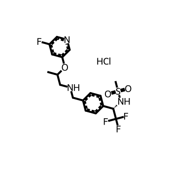 CC(CNCc1ccc([C@H](NS(C)(=O)=O)C(F)(F)F)cc1)Oc1cncc(F)c1.Cl